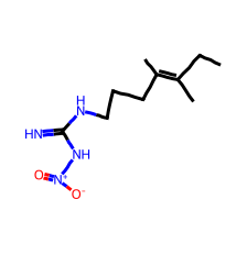 CC/C(C)=C(\C)CCCNC(=N)N[N+](=O)[O-]